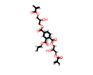 C=C(C)C(=O)OCC(O)COC(=O)c1ccc(C(=O)OCC(O)COC(=O)C(=C)C)c(C(=O)OC=CC)c1